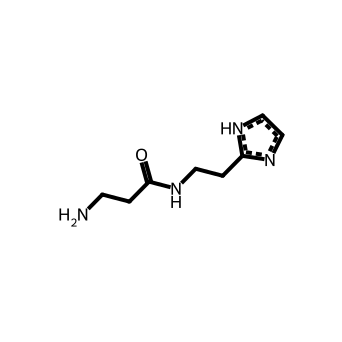 NCCC(=O)NCCc1ncc[nH]1